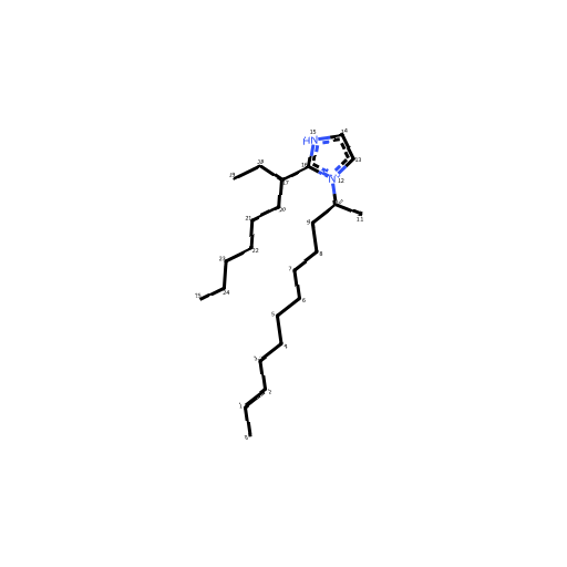 CCCCCCCCCCC(C)[n+]1cc[nH]c1C(CC)CCCCCC